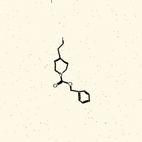 O=C(OCc1ccccc1)N1CCC(CCI)CC1